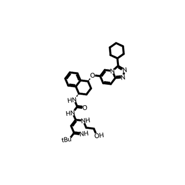 CC(C)(C)C(=N)/C=C(\NCCO)NC(=O)N[C@H]1CC[C@@H](Oc2ccc3nnc(C4CCCCC4)n3c2)c2ccccc21